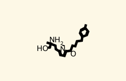 Cc1ccc(CCCCC(=O)c2ccc(CCC(C)(N)CO)n2C)cc1